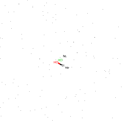 CCO.Cl.[Nb].[Nb]